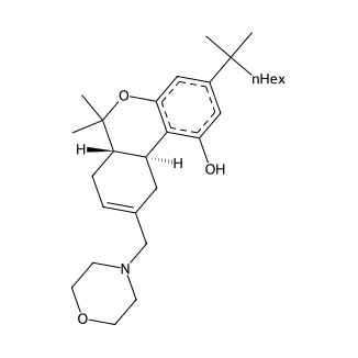 CCCCCCC(C)(C)c1cc(O)c2c(c1)OC(C)(C)[C@H]1CC=C(CN3CCOCC3)C[C@H]21